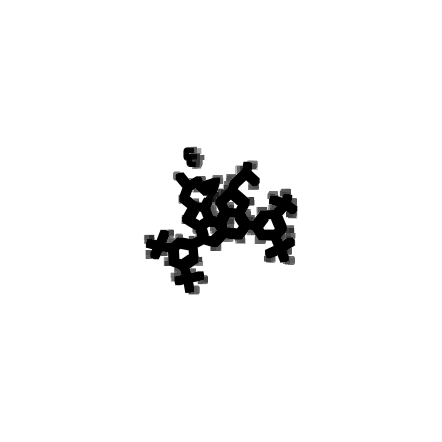 CC(C)CC1=Cc2c(-c3cc(C(C)(C)C)cc(C(C)(C)C)c3)cccc2[CH]1[Zr+2]1([CH]2C(CC(C)C)=Cc3c(-c4cc(C(C)(C)C)cc(C(C)(C)C)c4)cccc32)[CH2][CH2]1.[Cl-].[Cl-]